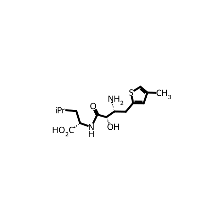 Cc1csc(C[C@@H](N)[C@H](O)C(=O)N[C@@H](CC(C)C)C(=O)O)c1